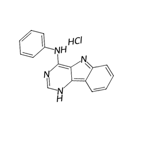 Cl.c1ccc(Nc2nc[nH]c3c4ccccc4nc2-3)cc1